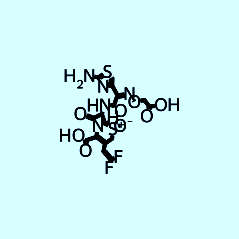 Nc1nc(/C(=N/OCC(=O)O)C(=O)NC2C(=O)N3C(C(=O)O)=C(C=C(F)F)C[S+]([O-])[C@H]23)cs1